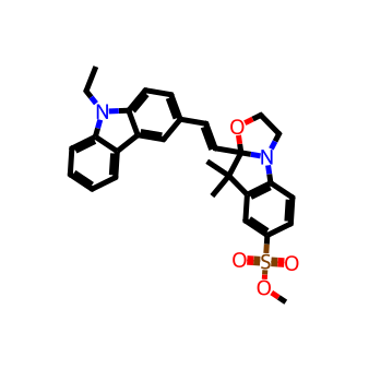 CCn1c2ccccc2c2cc(C=CC34OCCN3c3ccc(S(=O)(=O)OC)cc3C4(C)C)ccc21